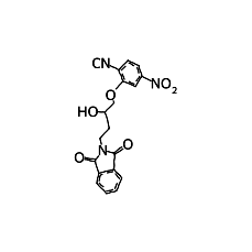 [C-]#[N+]c1ccc([N+](=O)[O-])cc1OCC(O)CCN1C(=O)c2ccccc2C1=O